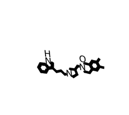 Cc1cc2c(cc1C)C(=O)N(CC1CCN(CCCc3c[nH]c4ccccc34)C1)CC2